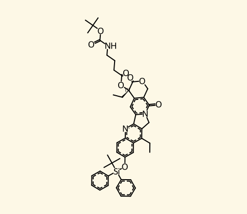 CCc1c2c(nc3ccc(O[Si](c4ccccc4)(c4ccccc4)C(C)(C)C)cc13)-c1cc3c(c(=O)n1C2)COC(=O)[C@@]3(CC)OC(=O)CCCNC(=O)OC(C)(C)C